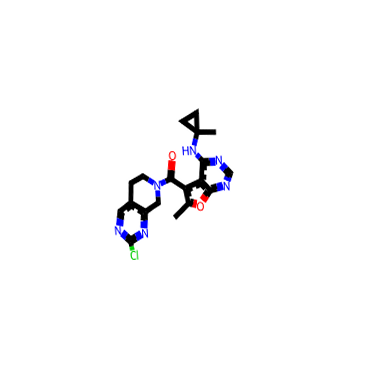 Cc1oc2ncnc(NC3(C)CC3)c2c1C(=O)N1CCc2cnc(Cl)nc2C1